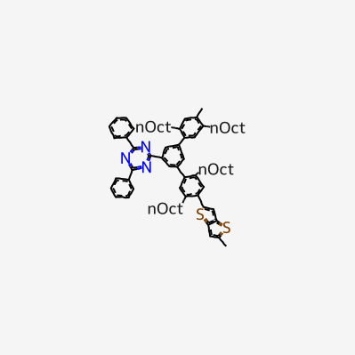 CCCCCCCCc1cc(-c2cc(-c3nc(-c4ccccc4)nc(-c4ccccc4)n3)cc(-c3cc(CCCCCCCC)c(-c4cc5sc(C)cc5s4)cc3CCCCCCCC)c2)c(CCCCCCCC)cc1C